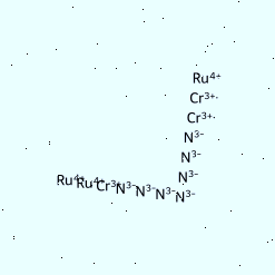 [Cr+3].[Cr+3].[Cr+3].[N-3].[N-3].[N-3].[N-3].[N-3].[N-3].[N-3].[Ru+4].[Ru+4].[Ru+4]